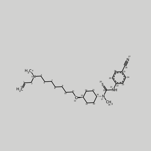 C=CCN(C)CCCCCCCO[C@H]1CC[C@H](N(C)C(=S)Nc2ccc(C#N)cc2)CC1